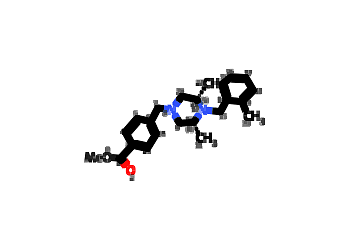 COC(=O)c1ccc(CN2C[C@@H](C)N(Cc3ccccc3C)[C@@H](C)C2)cc1